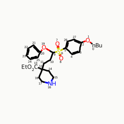 CCCCOc1ccc(S(=O)(=O)C(CCC2(C(=O)OCC)CCNCC2)Oc2ccccc2)cc1